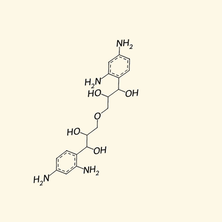 Nc1ccc(C(O)C(O)COCC(O)C(O)c2ccc(N)cc2N)c(N)c1